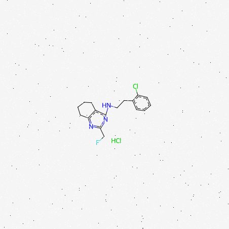 Cl.FCc1nc2c(c(NCCc3ccccc3Cl)n1)CCCC2